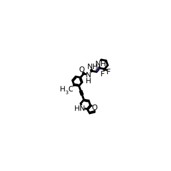 Cc1ccc(C(=O)NC(=N)/C=C2\NCCCC2(F)F)cc1C#CC1=Cc2occc2NC1